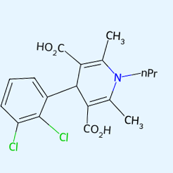 CCCN1C(C)=C(C(=O)O)C(c2cccc(Cl)c2Cl)C(C(=O)O)=C1C